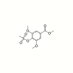 COC(=O)c1cc(OC)c(OS(C)(=O)=O)c(OC)c1